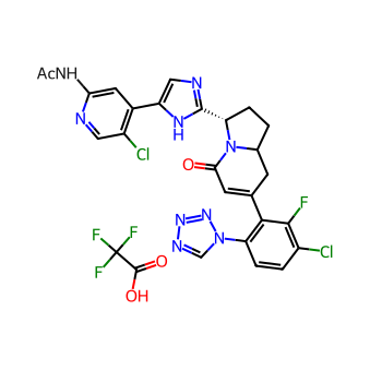 CC(=O)Nc1cc(-c2cnc([C@@H]3CCC4CC(c5c(-n6cnnn6)ccc(Cl)c5F)=CC(=O)N43)[nH]2)c(Cl)cn1.O=C(O)C(F)(F)F